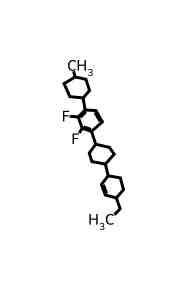 CCC1C=CC(C2CCC(c3ccc(C4CCC(C)CC4)c(F)c3F)CC2)CC1